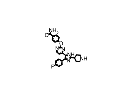 NC(=O)c1ccc(Oc2nccc(-c3[nH]c(C4CCNCC4)nc3-c3ccc(F)cc3)n2)cc1